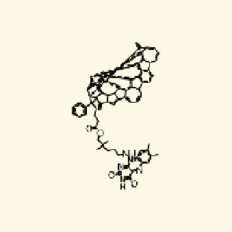 C=C1C2=C=C3C4=CC=CC5c6ccc7c8c6c6c5c4c4c5c6c6c9c%10c%11c(c86)C7C=CC=C%11C(=C)C%106C1(C(=C59)C2C34)C6(CCCC(=O)OCC(C)(C)CCCNn1c2nc(=O)[nH]c(=O)c-2nc2cc(C)c(C)cc21)c1ccccc1